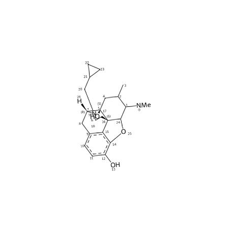 CNC1C(C)C[C@@]2(O)[C@H]3Cc4ccc(O)c5c4[C@@]2(CCN3CC2CC2)C1O5